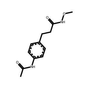 CONC(=O)CCc1ccc(NC(C)=O)cc1